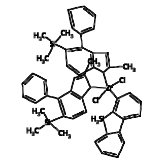 CC1=Cc2c(ccc([Si](C)(C)C)c2-c2ccccc2)[CH]1[Zr]([Cl])([Cl])([c]1cccc2c1[SiH2]c1ccccc1-2)[CH]1C(C)=Cc2c1ccc([Si](C)(C)C)c2-c1ccccc1